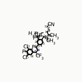 C=C(c1ccc(/C(F)=C/C(c2cc(Cl)c(F)c(Cl)c2)C(F)(F)F)cc1C(C)(F)F)N(C)C(C)CSCC#N